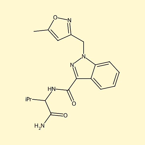 Cc1cc(Cn2nc(C(=O)NC(C(N)=O)C(C)C)c3ccccc32)no1